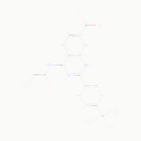 C=CC(=O)Nc1nc(-c2ccc(C(C)(C)C)cc2)nc2cc(C(=O)O)ccc12